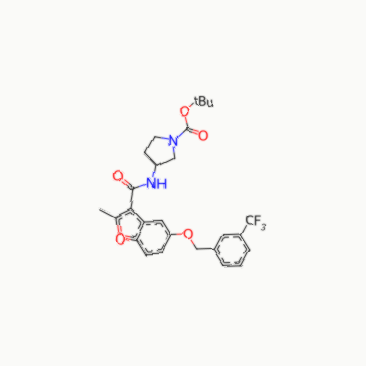 Cc1oc2ccc(OCc3cccc(C(F)(F)F)c3)cc2c1C(=O)NC1CCN(C(=O)OC(C)(C)C)C1